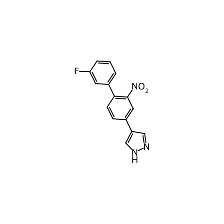 O=[N+]([O-])c1cc(-c2cn[nH]c2)ccc1-c1cccc(F)c1